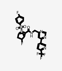 O=C(NCc1cc(-c2ccc(C(F)(F)F)nc2)ncn1)C1C2CC(CC2F)N1S(=O)(=O)c1ccc(F)cc1